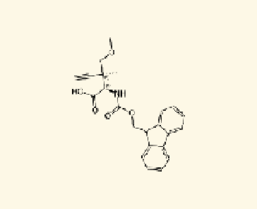 C#C[C@@](C)(COC)[C@@H](NC(=O)OCC1c2ccccc2-c2ccccc21)C(=O)O